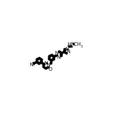 CNCCn1cc(-c2cnc(-c3cccc(CN4N=C(c5cccc(C#N)c5)CCC4=O)c3)nc2)cn1